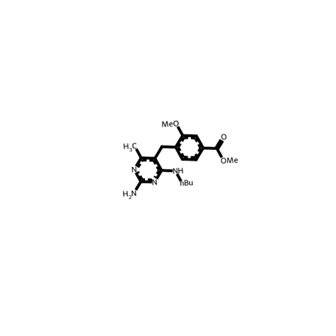 CCCCNc1nc(N)nc(C)c1Cc1ccc(C(=O)OC)cc1OC